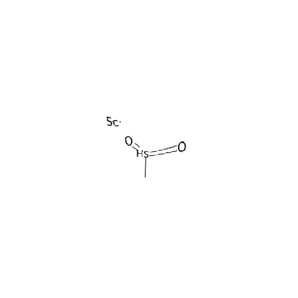 C[SH](=O)=O.[Sc]